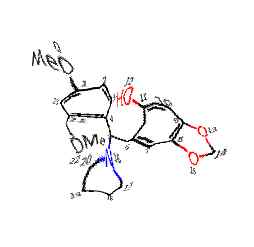 COc1ccc(C(c2cc3c(cc2O)OCO3)N2CCCC2)c(OC)c1